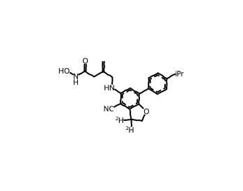 [2H]C1([2H])COc2c(-c3ccc(C(C)C)cc3)cc(NCC(=C)CC(=O)NO)c(C#N)c21